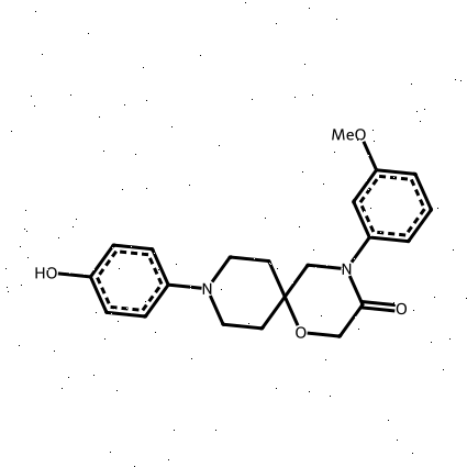 COc1cccc(N2CC3(CCN(c4ccc(O)cc4)CC3)OCC2=O)c1